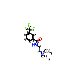 CN(C)CCNC(=O)c1cccc(C(F)(F)F)c1